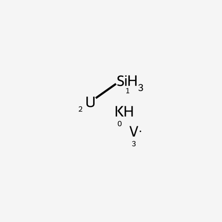 [KH].[SiH3][U].[V]